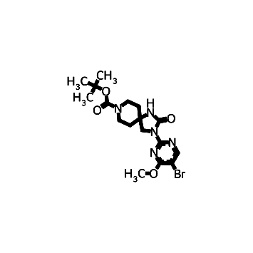 COc1nc(N2CC3(CCN(C(=O)OC(C)(C)C)CC3)NC2=O)ncc1Br